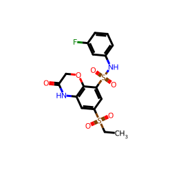 CCS(=O)(=O)c1cc2c(c(S(=O)(=O)Nc3cccc(F)c3)c1)OCC(=O)N2